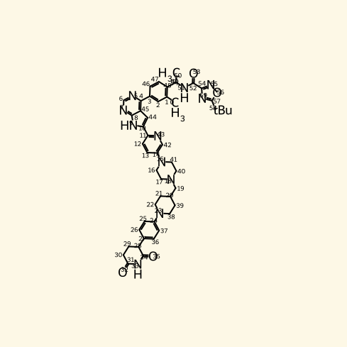 Cc1cc(-c2ncnc3[nH]c(-c4ccc(N5CCN(CC6CCN(c7ccc(C8CCC(=O)NC8=O)cc7)CC6)CC5)cn4)cc23)ccc1[C@@H](C)NC(=O)c1noc(C(C)(C)C)n1